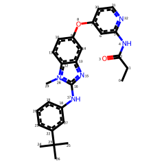 CCC(=O)Nc1cc(Oc2ccc3c(c2)nc(Nc2cccc(C(C)(C)C)c2)n3C)ccn1